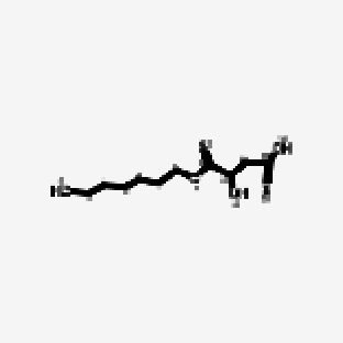 OCCCCCCOC(=S)C(O)CC(O)=S